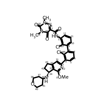 COc1nc(-c2cccc(-c3cccc(NC(=O)c4nn(C)c(=O)n(C)c4=O)c3Cl)c2Cl)cc2c1[C@@H](NC1CCOCC1)CC2